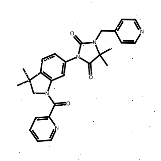 CC1(C)CN(C(=O)c2ccccn2)c2cc(N3C(=O)N(Cc4ccncc4)C(C)(C)C3=O)ccc21